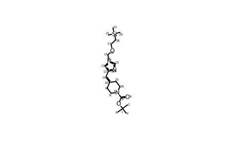 CC(C)(C)OC(=O)N1CCC(=Cc2cn(COCC[Si](C)(C)C)cn2)CC1